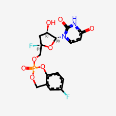 O=c1ccn([C@@H]2O[C@](F)(COP3(=O)OCc4cc(F)ccc4O3)C[C@H]2O)c(=O)[nH]1